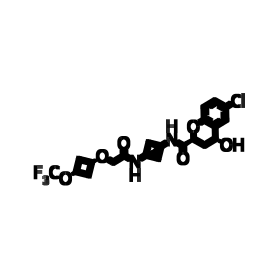 O=C(CO[C@H]1C[C@@H](OC(F)(F)F)C1)NC12CC(NC(=O)[C@@H]3C[C@@H](O)c4cc(Cl)ccc4O3)(C1)C2